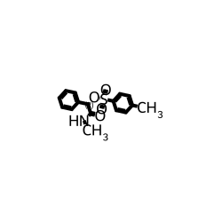 CNC(=O)[C@H](OS(=O)(=O)c1ccc(C)cc1)c1ccccc1